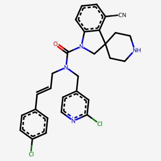 N#Cc1cccc2c1C1(CCNCC1)CN2C(=O)N(CC=Cc1ccc(Cl)cc1)Cc1ccnc(Cl)c1